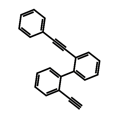 C#Cc1ccccc1-c1ccccc1C#Cc1ccccc1